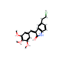 COc1cc(C=C2C(=O)Nc3ccc(CCCl)cc32)cc(OC)c1OC